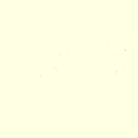 COc1ccc(C2CC(C(F)F)n3nc(-c4ccc(C(=O)N5C[C@H](C)NC[C@H]5C)cc4)cc3N2)cc1OC